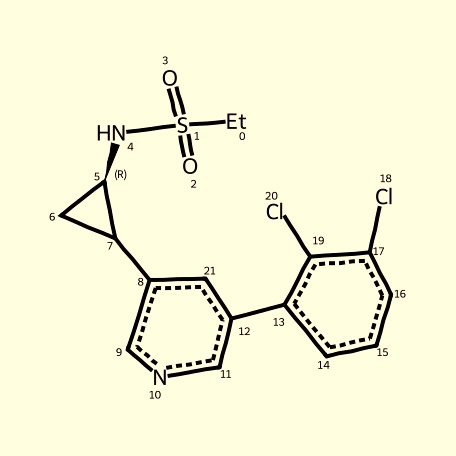 CCS(=O)(=O)N[C@@H]1CC1c1cncc(-c2cccc(Cl)c2Cl)c1